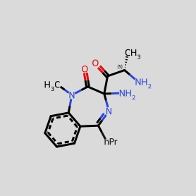 CCCC1=NC(N)(C(=O)[C@H](C)N)C(=O)N(C)c2ccccc21